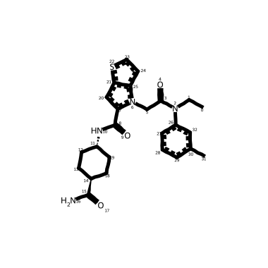 CCN(C(=O)Cn1c(C(=O)N[C@H]2CC[C@H](C(N)=O)CC2)cc2sccc21)c1cccc(C)c1